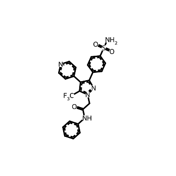 NS(=O)(=O)c1ccc(-c2nn(CC(=O)Nc3ccccc3)c(C(F)(F)F)c2-c2ccncc2)cc1